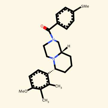 COc1ccc([C@H]2CCC[C@H]3CN(C(=O)c4ccc(SC)cc4)CCN32)c(C)c1C